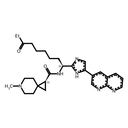 CCC(=O)CCCCC[C@H](NC(=O)[C@H]1CC12CCN(C)CC2)c1ncc(-c2cnc3ncccc3c2)[nH]1